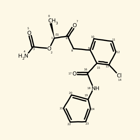 C[C@H](OC(N)=O)C(=O)Cc1cccc(Cl)c1C(=O)Nc1ccccc1